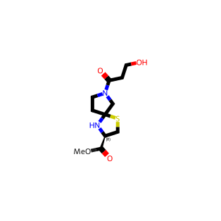 COC(=O)[C@@H]1CSC2(CCN(C(=O)CCO)C2)N1